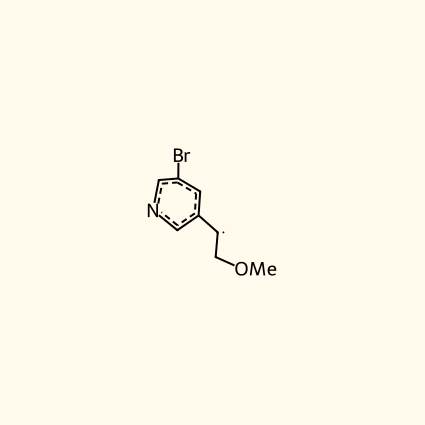 COC[CH]c1cncc(Br)c1